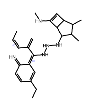 C=C(/C=C\C)/C(NNNC1C(C)C(C)C2C=C(NC)C21)=C1/C=C(CC)C=CC1=N